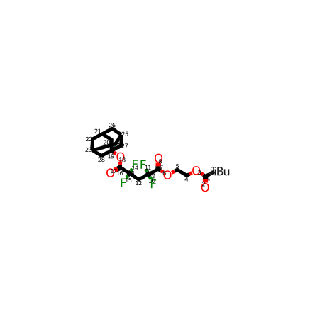 CCC(C)C(=O)OCCOC(=O)C(F)(F)CC(F)(F)C(=O)OC12CC3CC(CC(C3)C1)C2